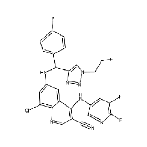 N#Cc1cnc2c(Cl)cc(NC(c3ccc(F)cc3)c3cn(CCF)nn3)cc2c1Nc1cnc(F)c(F)c1